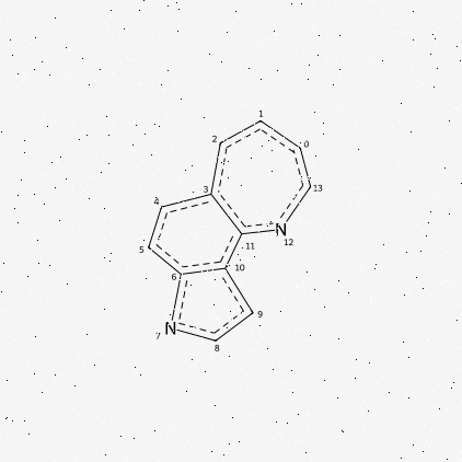 c1ccc2ccc3nccc3c2nc1